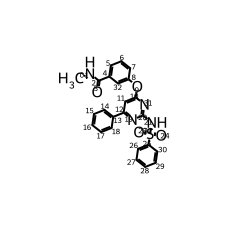 CNC(=O)c1cccc(Oc2cc(-c3ccccc3)nc(NS(=O)(=O)c3ccccc3)n2)c1